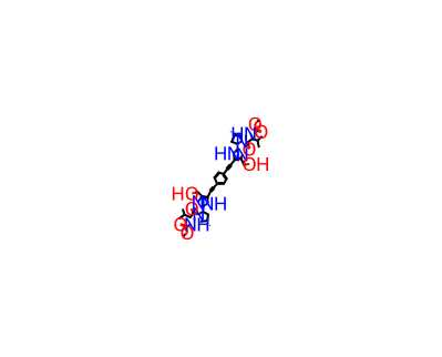 COC(=O)N[C@H](C(=O)N1C[C@@H](C)C[C@H]1c1nc(CO)c(C#Cc2ccc(C#Cc3[nH]c([C@@H]4C[C@H](C)CN4C(=O)[C@@H](NC(=O)OC)C(C)C)nc3CO)cc2)[nH]1)C(C)C